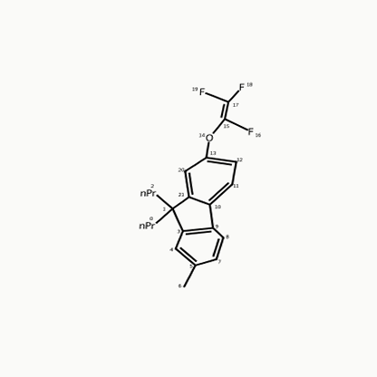 CCCC1(CCC)c2cc(C)ccc2-c2ccc(OC(F)=C(F)F)cc21